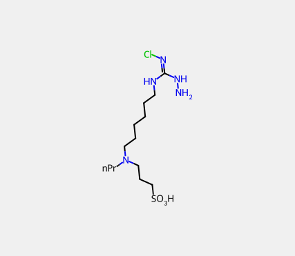 CCCN(CCCCCCN/C(=N\Cl)NN)CCCS(=O)(=O)O